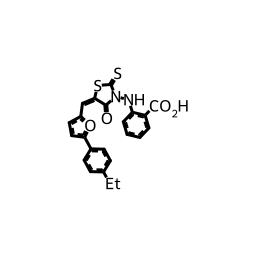 CCc1ccc(-c2ccc(C=C3SC(=S)N(Nc4ccccc4C(=O)O)C3=O)o2)cc1